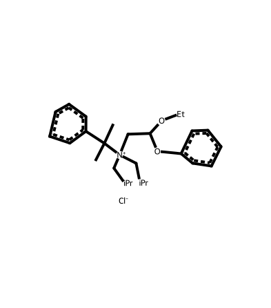 CCOC(C[N+](CC(C)C)(CC(C)C)C(C)(C)c1ccccc1)Oc1ccccc1.[Cl-]